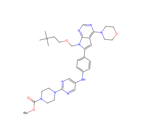 CC(C)(C)OC(=O)N1CCN(c2ncc(Nc3ccc(-c4cc5c(N6CCOCC6)ncnc5n4COCC[Si](C)(C)C)cc3)cn2)CC1